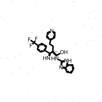 N=C(/C(CCc1ccncc1)=C(/O)Nc1nc2ccccc2[nH]1)c1ccc(C(F)(F)F)cc1